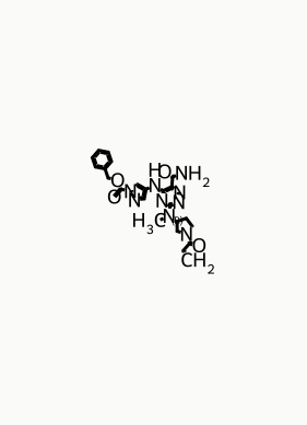 C=CC(=O)N1CC[C@@H](N(C)c2nnc(C(N)=O)c(Nc3cnn(C(=O)OCc4ccccc4)c3)n2)C1